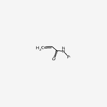 C=CC(=O)N[P]